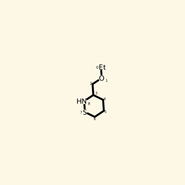 CCOCC1CCCSN1